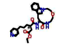 CCOC(=O)C[C@@H](CCCc1ccncc1)C(=O)N[C@H]1Cc2cn(c3ccccc23)CCOCCNC1=O